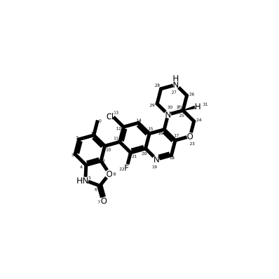 Cc1ccc2[nH]c(=O)oc2c1-c1c(Cl)cc2c3c(cnc2c1F)OC[C@H]1CNCCN31